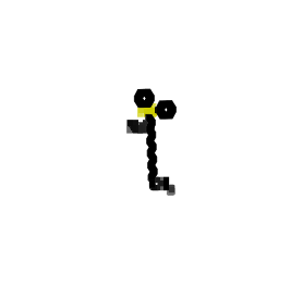 CCCCCCCCCCCC[SH](c1ccccc1)c1ccccc1.[NaH]